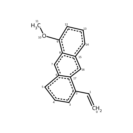 C=Cc1cccc2cc3c(OC)cccc3cc12